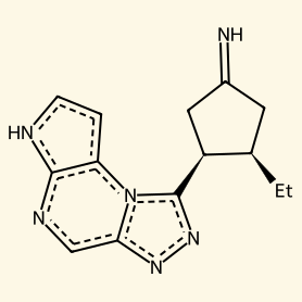 CC[C@@H]1CC(=N)C[C@@H]1c1nnc2cnc3[nH]ccc3n12